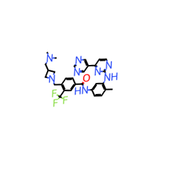 Cc1ccc(NC(=O)c2ccc(CN3CC(CN(C)C)C3)c(C(F)(F)F)c2)cc1Nc1nccc(-c2cncnc2)n1